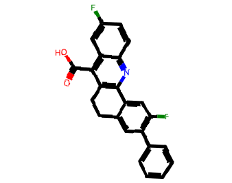 O=C(O)c1c2c(nc3ccc(F)cc13)-c1cc(F)c(-c3ccccc3)cc1CC2